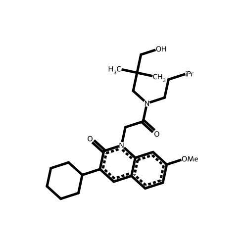 COc1ccc2cc(C3CCCCC3)c(=O)n(CC(=O)N(CCC(C)C)CC(C)(C)CO)c2c1